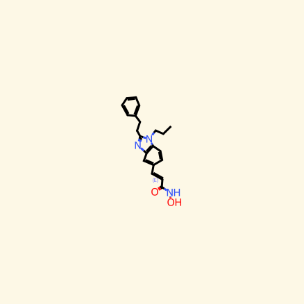 CCCn1c(CCc2ccccc2)nc2cc(/C=C/C(=O)NO)ccc21